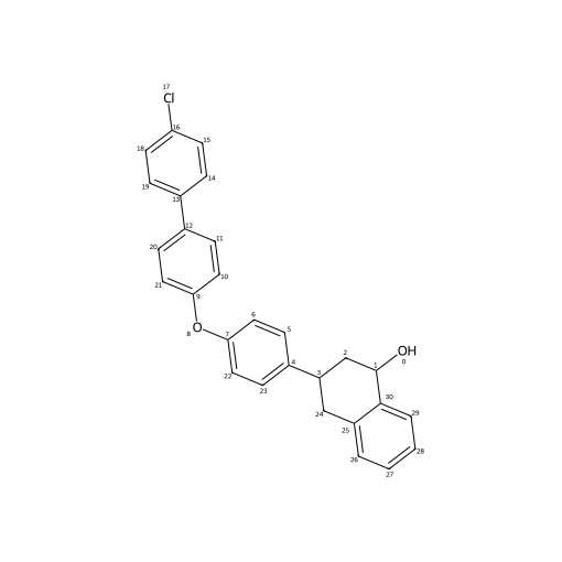 OC1CC(c2ccc(Oc3ccc(-c4ccc(Cl)cc4)cc3)cc2)Cc2ccccc21